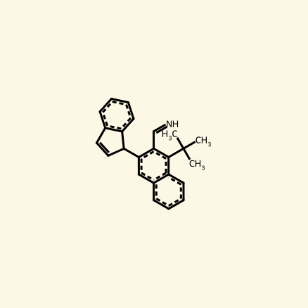 CC(C)(C)c1c(C=N)c(C2C=Cc3ccccc32)cc2ccccc12